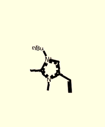 C=Cc1c[n+](CCCC)c(C)n1C